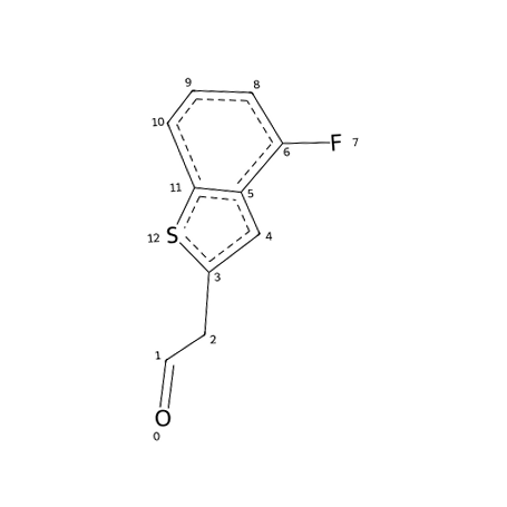 O=CCc1cc2c(F)cccc2s1